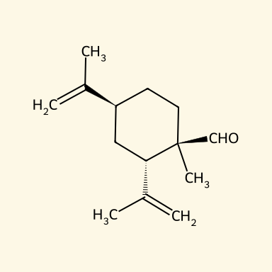 C=C(C)[C@H]1CC[C@@](C)(C=O)[C@H](C(=C)C)C1